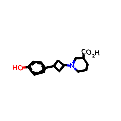 O=C(O)C1CCCN(C2CC(c3ccc(O)cc3)C2)C1